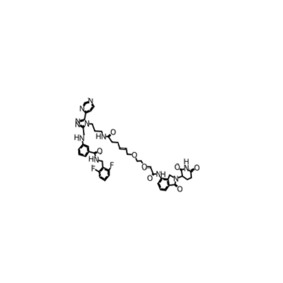 O=C(CCCCCOCCOCC(=O)Nc1cccc2c1CN(C1CCC(=O)NC1=O)C2=O)NCCCn1c(CNc2cccc(C(=O)NCc3c(F)cccc3F)c2)nnc1-c1ccncn1